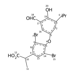 CC(C)c1cc(Oc2c(Br)cc(C(C)C(=O)O)cc2Br)cc(C=O)c1O